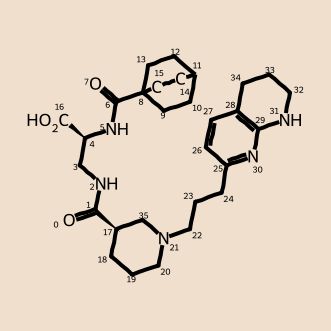 O=C(NC[C@H](NC(=O)C12CCC(CC1)CC2)C(=O)O)[C@@H]1CCCN(CCCc2ccc3c(n2)NCCC3)C1